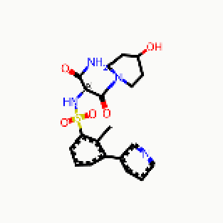 Cc1c(-c2cccnc2)cccc1S(=O)(=O)N[C@@H](C(N)=O)C(=O)N1CCC(O)CC1